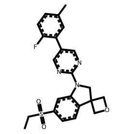 CCS(=O)(=O)c1ccc2c(c1)N(c1ncc(-c3cc(C)ccc3F)cn1)CC21COC1